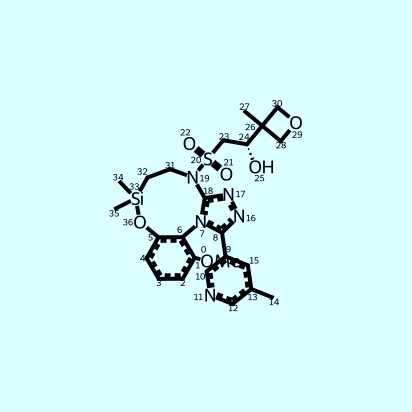 COc1cccc2c1-n1c(-c3cncc(C)c3)nnc1N(S(=O)(=O)C[C@@H](O)C1(C)COC1)CC[Si](C)(C)O2